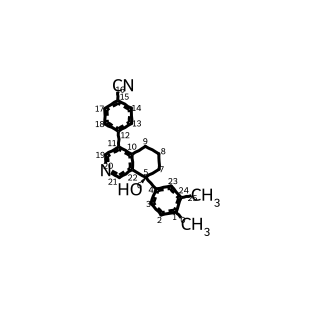 Cc1ccc([C@@]2(O)CCCc3c(-c4ccc(C#N)cc4)cncc32)cc1C